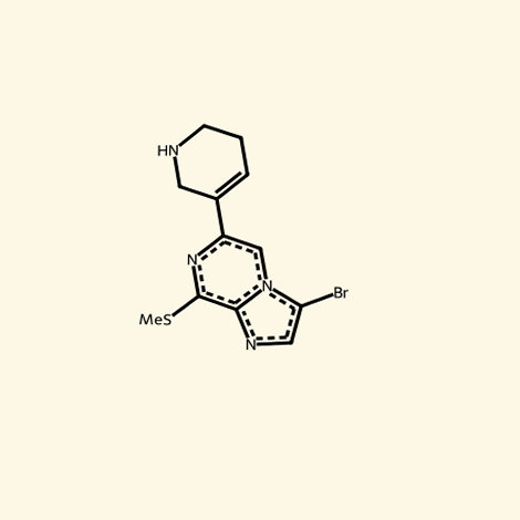 CSc1nc(C2=CCCNC2)cn2c(Br)cnc12